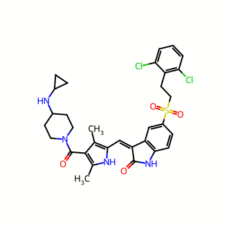 Cc1[nH]c(/C=C2\C(=O)Nc3ccc(S(=O)(=O)CCc4c(Cl)cccc4Cl)cc32)c(C)c1C(=O)N1CCC(NC2CC2)CC1